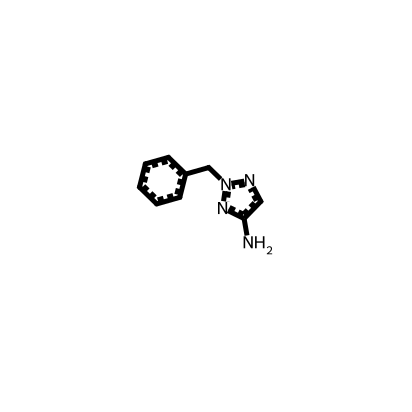 Nc1cnn(Cc2ccccc2)n1